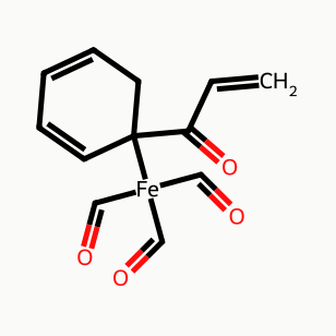 C=CC(=O)[C]1([Fe]([CH]=O)([CH]=O)[CH]=O)C=CC=CC1